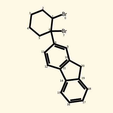 BrC1CCCCC1(Br)c1[c]c2c(cc1)-c1ccccc1C2